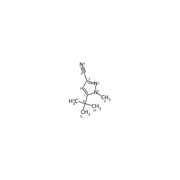 Cn1nc(C#N)cc1C(C)(C)C